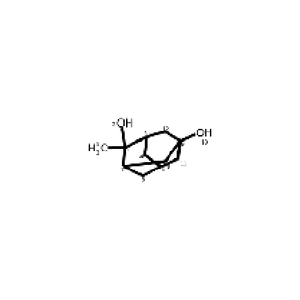 CC1(O)C2CC3CC1CC(O)(C3)C2